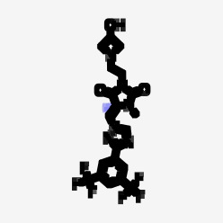 CN1C(=O)N(CCN2CC(O)C2)C(=O)/C1=C/n1cnc(-c2cc(C(F)(F)F)cc(C(F)(F)F)c2)n1